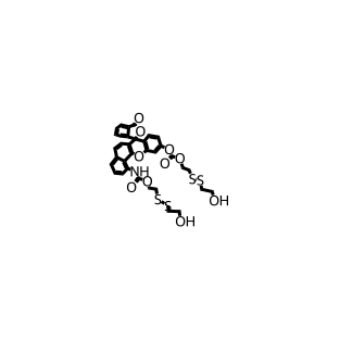 O=C(Nc1cccc2ccc3c(c12)Oc1cc(OC(=O)OCCSSCCO)ccc1C31OC(=O)c2ccccc21)OCCSSCCO